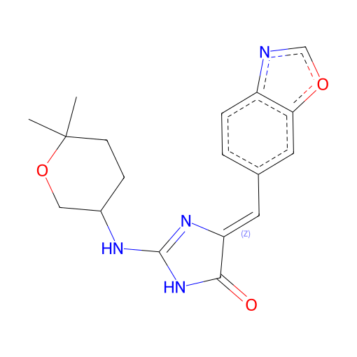 CC1(C)CCC(NC2=N/C(=C\c3ccc4ncoc4c3)C(=O)N2)CO1